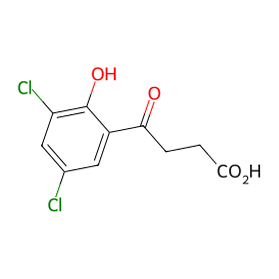 O=C(O)CCC(=O)c1cc(Cl)cc(Cl)c1O